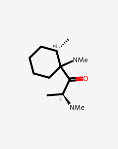 CN[C@@H](C)C(=O)C1(NC)CCCC[C@@H]1C